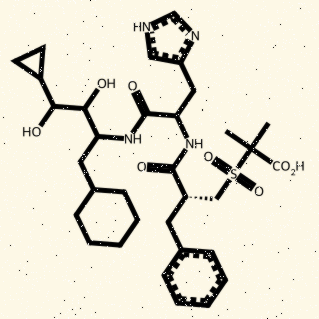 CC(C)(C(=O)O)S(=O)(=O)C[C@H](Cc1ccccc1)C(=O)NC(Cc1c[nH]cn1)C(=O)NC(CC1CCCCC1)C(O)C(O)C1CC1